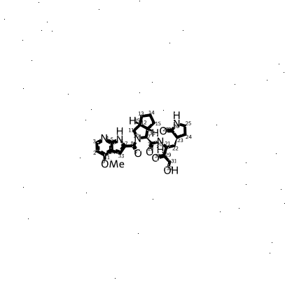 COc1ccnc2[nH]c(C(=O)N3C[C@@H]4CCC[C@@H]4[C@H]3C(=O)NC(C[C@@H]3CCNC3=O)C(=O)CO)cc12